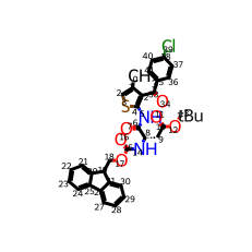 Cc1csc(NC(=O)[C@H](CC(=O)OC(C)(C)C)NC(=O)OCC2c3ccccc3-c3ccccc32)c1C(=O)c1ccc(Cl)cc1